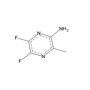 Cc1nc(F)c(F)nc1N